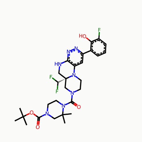 CC(C)(C)OC(=O)N1CCN(C(=O)N2CCN3c4cc(-c5cccc(F)c5O)nnc4NC[C@]3(C(F)F)C2)C(C)(C)C1